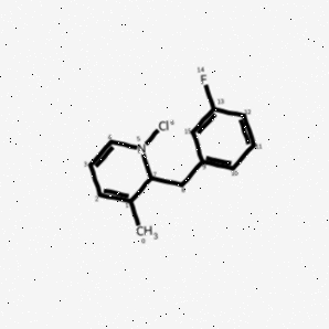 CC1=CC=CN(Cl)C1Cc1cccc(F)c1